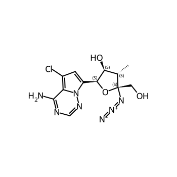 C[C@H]1[C@H](O)[C@H](c2cc(Cl)c3c(N)ncnn23)O[C@@]1(CO)N=[N+]=[N-]